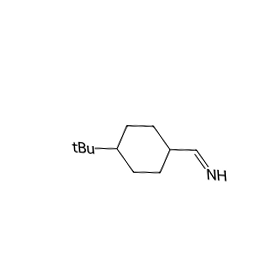 CC(C)(C)C1CCC(C=N)CC1